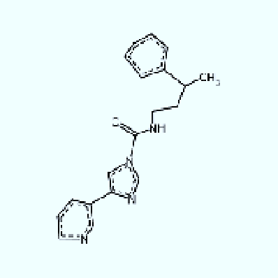 CC(CCNC(=O)n1cnc(-c2cccnc2)c1)c1ccccc1